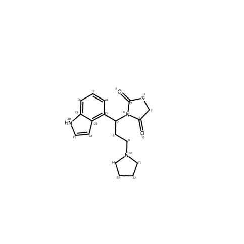 O=C1CSC(=O)N1C(CCN1CCCC1)c1cccc2[nH]ccc12